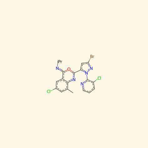 Cc1cc(Cl)cc2/c(=N/C(C)C)oc(-c3cc(Br)nn3-c3ncccc3Cl)nc12